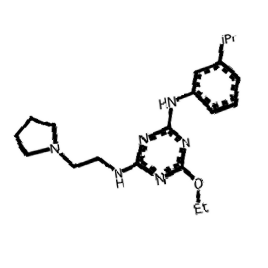 CCOc1nc(NCCN2CCCC2)nc(Nc2cccc(C(C)C)c2)n1